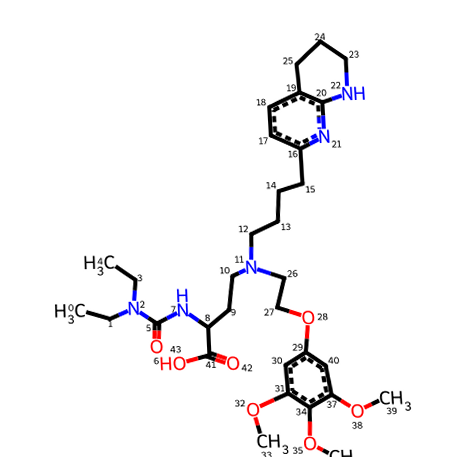 CCN(CC)C(=O)NC(CCN(CCCCc1ccc2c(n1)NCCC2)CCOc1cc(OC)c(OC)c(OC)c1)C(=O)O